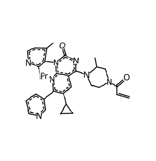 C=CC(=O)N1CCN(c2nc(=O)n(-c3c(C)ccnc3C(C)C)c3nc(-c4cccnc4)c(C4CC4)cc23)C(C)C1